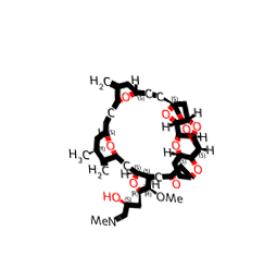 C=C1C[C@@H]2CC[C@@]34C[C@@H]5O[C@@H]6C(O[C@H]7CCC(CC(=O)C[C@@H]8[C@@H](OC)[C@@H](C[C@H](O)CNC)O[C@H]8CC8O[C@@H](CCC1O2)C[C@@H](C)C8=C)OC7[C@@H]6O3)[C@@H]5O4